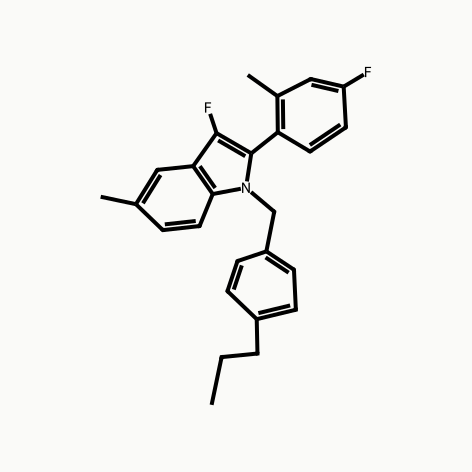 CCCc1ccc(Cn2c(-c3ccc(F)cc3C)c(F)c3cc(C)ccc32)cc1